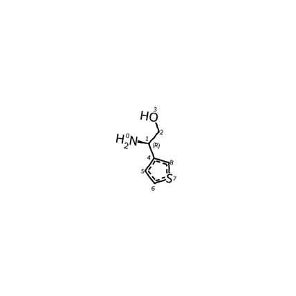 N[C@@H](CO)c1ccsc1